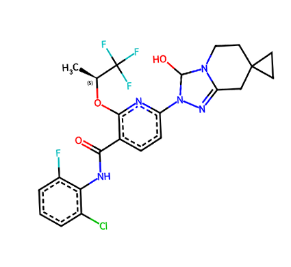 C[C@H](Oc1nc(N2N=C3CC4(CCN3C2O)CC4)ccc1C(=O)Nc1c(F)cccc1Cl)C(F)(F)F